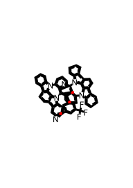 N#Cc1cc(-c2cc(-n3c4ccccc4c4ccc5c6ccccc6n(-c6ccccc6)c5c43)ncc2-n2c3ccccc3c3ccc4c5ccccc5n(-c5ccccc5)c4c32)cc(C(F)(F)F)c1